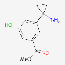 COC(=O)c1cccc(C2(N)CC2)c1.Cl